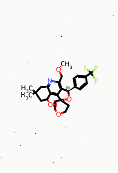 COCc1nc2c(c3c1[C@@H](c1ccc(C(F)(F)F)cc1)OC31CCOCC1)C(O)CC(C)(C)C2